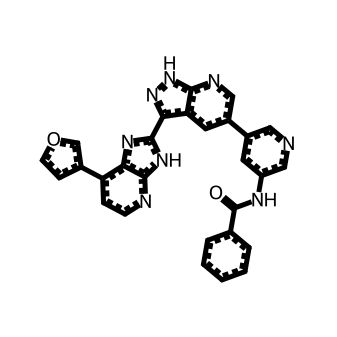 O=C(Nc1cncc(-c2cnc3[nH]nc(-c4nc5c(-c6ccoc6)ccnc5[nH]4)c3c2)c1)c1ccccc1